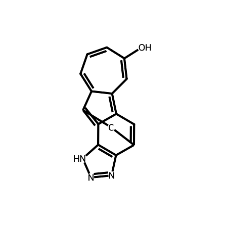 Oc1cccc2c3c4c(cc(c5nn[nH]c54)C3)c-2c1